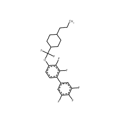 CCCC1CCC(C(F)(F)Oc2ccc(-c3cc(F)c(F)c(F)c3)c(F)c2F)CC1